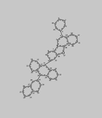 c1ccc(-c2cc3c4ccc(-c5c6ccccc6c(-c6ccc7ccccc7c6)c6ccccc56)cc4oc3c3ccccc23)cc1